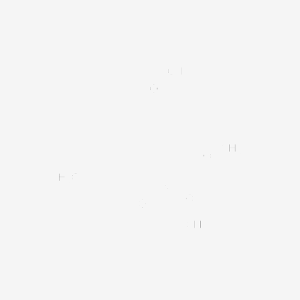 COC(=O)c1c(C=C(C)c2ccccc2)cc(OC)cc1OC